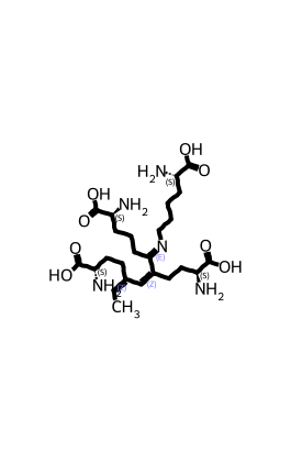 C\C=C(/C=C(CC[C@H](N)C(=O)O)\C(CCC[C@H](N)C(=O)O)=N\CCCC[C@H](N)C(=O)O)CC[C@H](N)C(=O)O